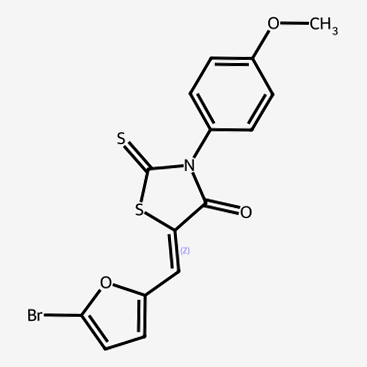 COc1ccc(N2C(=O)/C(=C/c3ccc(Br)o3)SC2=S)cc1